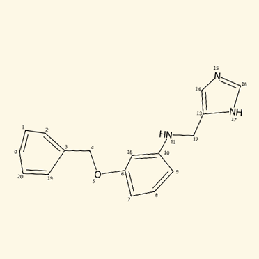 c1ccc(COc2cccc(NCc3cnc[nH]3)c2)cc1